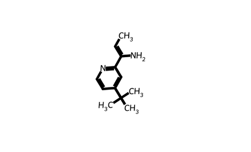 C/C=C(\N)c1cc(C(C)(C)C)ccn1